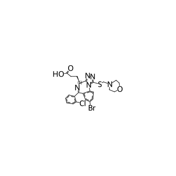 O=C(O)CC[C@@H]1N=C(c2ccccc2Cl)c2cc(Br)ccc2-n2c(SCN3CCOCC3)nnc21